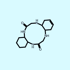 O=C1CNC2CC=CCC2NCC(=O)NC2CCCCC2N1